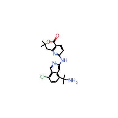 CC1(C)Cc2nc(Nc3cc4c(C(C)(C)N)ccc(Cl)c4cn3)ccc2C(=O)O1